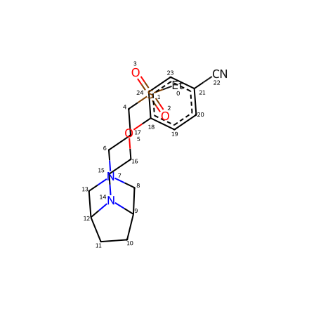 CCS(=O)(=O)CCCN1CC2CCC(C1)N2CCOc1ccc(C#N)cc1